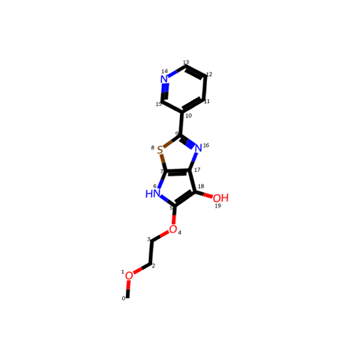 COCCOc1[nH]c2sc(-c3cccnc3)nc2c1O